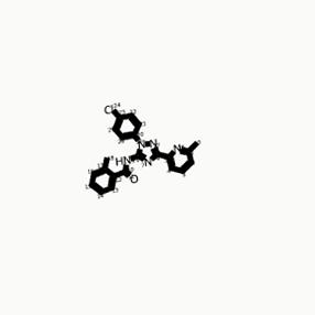 Cc1cccc(-c2nc(NC(=O)c3ccccc3C)n(-c3ccc(Cl)cc3)n2)n1